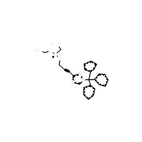 CCOP(=O)(CC)OCC#Cc1ncn(C(c2ccccc2)(c2ccccc2)c2ccccc2)n1